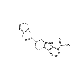 COC(=O)c1cccc2c3c([nH]c12)CN(C(=O)Cc1ccccc1F)CC3